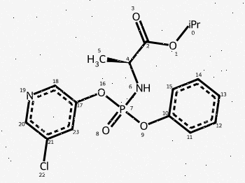 CC(C)OC(=O)[C@H](C)NP(=O)(Oc1ccccc1)Oc1cncc(Cl)c1